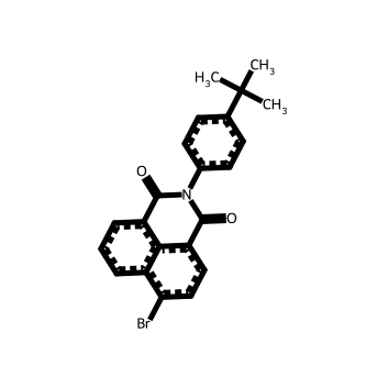 CC(C)(C)c1ccc(N2C(=O)c3cccc4c(Br)ccc(c34)C2=O)cc1